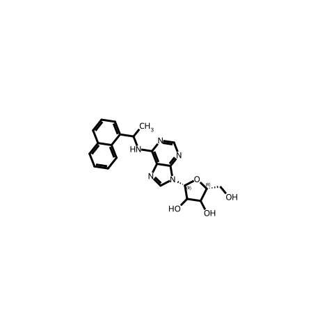 CC(Nc1ncnc2c1ncn2[C@@H]1O[C@H](CO)C(O)C1O)c1cccc2ccccc12